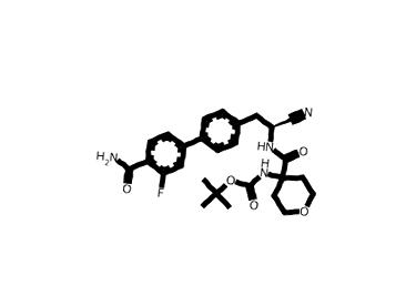 CC(C)(C)OC(=O)NC1(C(=O)N[C@H](C#N)Cc2ccc(-c3ccc(C(N)=O)c(F)c3)cc2)CCOCC1